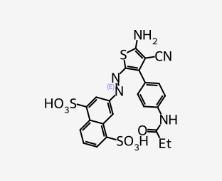 CCC(=O)Nc1ccc(-c2c(/N=N/c3cc(S(=O)(=O)O)c4cccc(S(=O)(=O)O)c4c3)sc(N)c2C#N)cc1